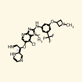 CN1CC(Oc2cc(Nc3nc4ncc(O/C(C=N)=C5\C=NC=CN5)c(Cl)c4n3C)cc(C(F)(F)F)c2)C1